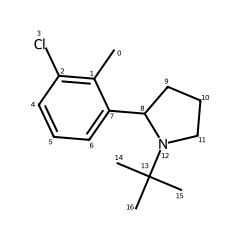 Cc1c(Cl)cccc1C1CCCN1C(C)(C)C